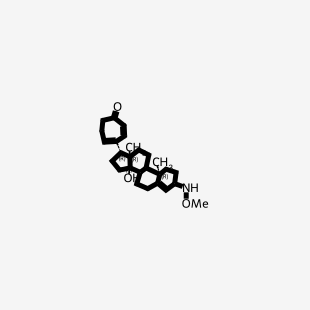 CONC1C=C2CCC3C(CC[C@]4(C)[C@@H](C5=CCCC(=O)C=C5)CC[C@]34O)[C@@]2(C)CC1